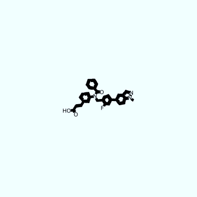 Cn1ncc2cc(-c3ccc(CN(C(=O)c4ccccc4)c4cccc(C=CC(=O)O)c4)c(F)c3)ccc21